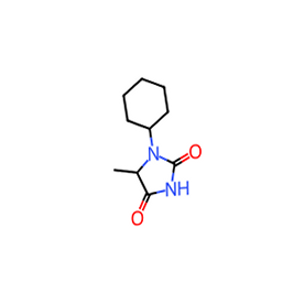 CC1C(=O)NC(=O)N1C1CCCCC1